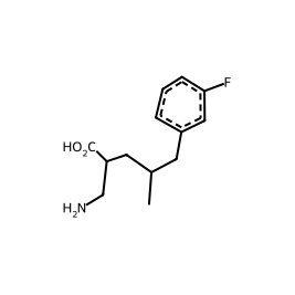 CC(Cc1cccc(F)c1)CC(CN)C(=O)O